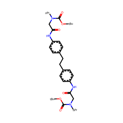 CCCN(CC(=O)Nc1ccc(CCc2ccc(NC(=O)CN(CCC)C(=O)OC(C)(C)C)cc2)cc1)C(=O)OC(C)(C)C